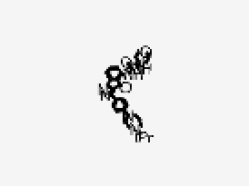 CC(C)N1CCCN(c2ccc(C3=C4C(=O)c5c(NC(=O)NN6CCOCC6)cccc5C4N=N3)cc2)CC1